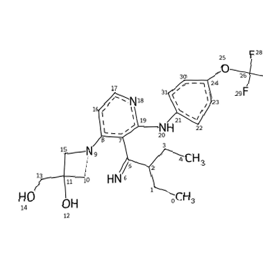 CCC(CC)C(=N)c1c(N2CC(O)(CO)C2)ccnc1Nc1ccc(OC(F)(F)F)cc1